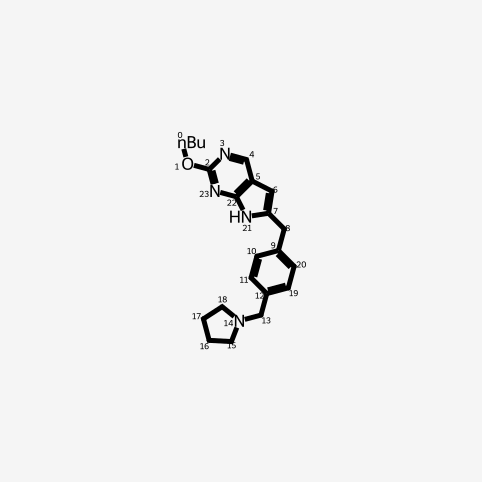 CCCCOc1ncc2cc(Cc3ccc(CN4CCCC4)cc3)[nH]c2n1